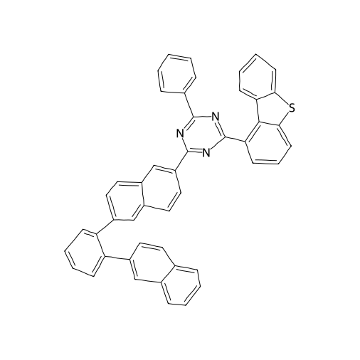 c1ccc(-c2nc(-c3ccc4cc(-c5ccccc5-c5ccc6ccccc6c5)ccc4c3)nc(-c3cccc4sc5ccccc5c34)n2)cc1